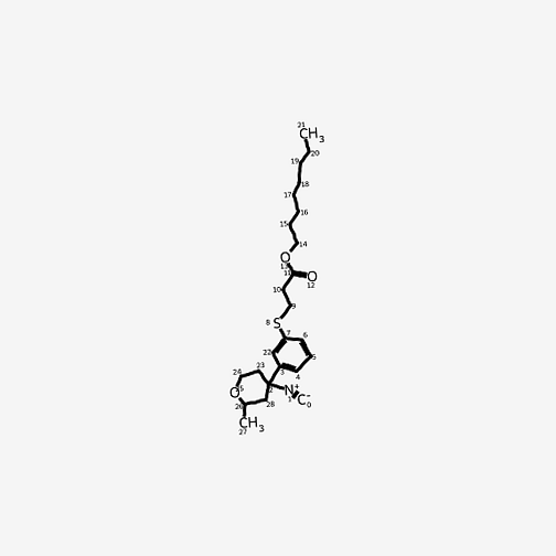 [C-]#[N+]C1(c2cccc(SCCC(=O)OCCCCCCCC)c2)CCOC(C)C1